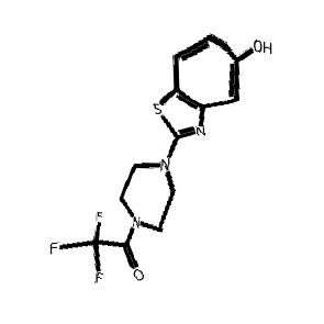 O=C(N1CCN(c2nc3cc(O)ccc3s2)CC1)C(F)(F)F